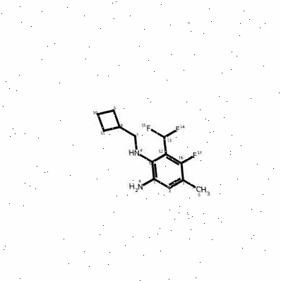 Cc1cc(N)c(NCC2CCC2)c(C(F)F)c1F